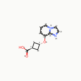 O=C(O)[C@H]1C[C@H](Oc2cccn3ccnc23)C1